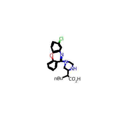 CCCCC(C(=O)O)C1CN(C2=Nc3cc(Cl)ccc3Oc3ccccc32)CCN1